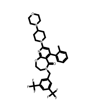 Cc1ccccc1-c1cc(N2CCC(N3CCOCC3)CC2)nc2c1C(=O)N(Cc1cc(C(F)(F)F)cc(C(F)(F)F)c1)CCO2